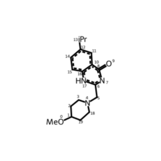 COC1CCN(Cc2nc(=O)c3cc(C(C)C)ccc3[nH]2)CC1